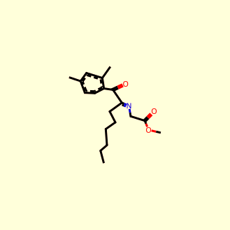 CCCCCC/C(=N\CC(=O)OC)C(=O)c1ccc(C)cc1C